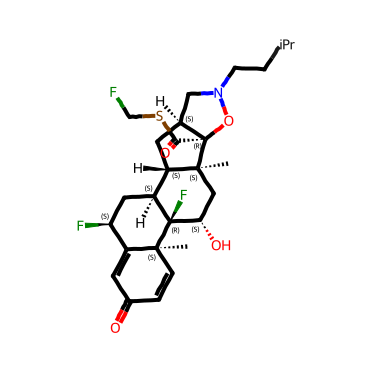 CC(C)CCN1C[C@@H]2C[C@H]3[C@@H]4C[C@H](F)C5=CC(=O)C=C[C@]5(C)[C@@]4(F)[C@@H](O)C[C@]3(C)[C@]2(C(=O)SCF)O1